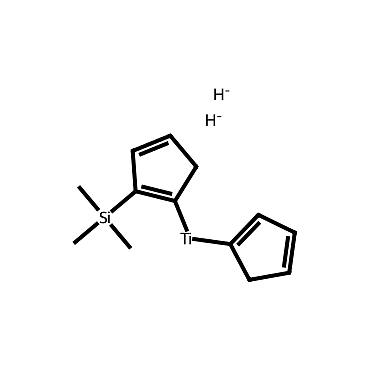 C[Si](C)(C)C1=[C]([Ti][C]2=CC=CC2)CC=C1.[H-].[H-]